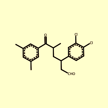 Cc1cc(C)cc(C(=O)C(C)CC(CC=O)c2ccc(Cl)c(Cl)c2)c1